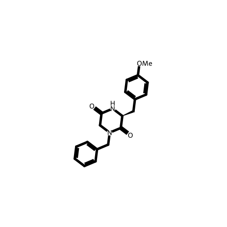 COc1ccc(C[C@@H]2NC(=O)CN(Cc3ccccc3)C2=O)cc1